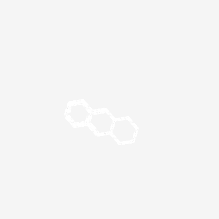 C1=c2ccccc2=CC2CCCCC12